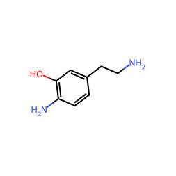 NCCc1ccc(N)c(O)c1